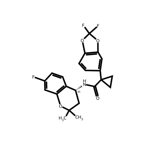 CC1(C)C[C@@H](NC(=O)C2(c3ccc4c(c3)OC(F)(F)O4)CC2)c2ccc(F)cc2O1